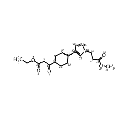 CCOC(=O)CC(=O)C1CCC(c2cnn(CCC(=O)OC)c2)CC1